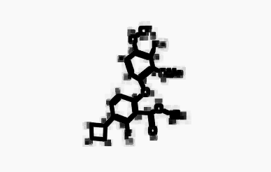 COc1c(Oc2ccc(C3CCC3)c(F)c2C(=O)OC(C)(C)C)ccc(OC(F)(F)F)c1F